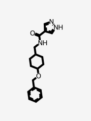 O=C(NCC1CCC(OCc2ccccc2)CC1)c1cn[nH]c1